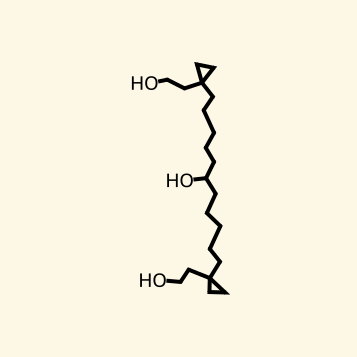 OCCC1(CCCCCC(O)CCCCCC2(CCO)CC2)CC1